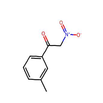 Cc1cccc(C(=O)C[N+](=O)[O-])c1